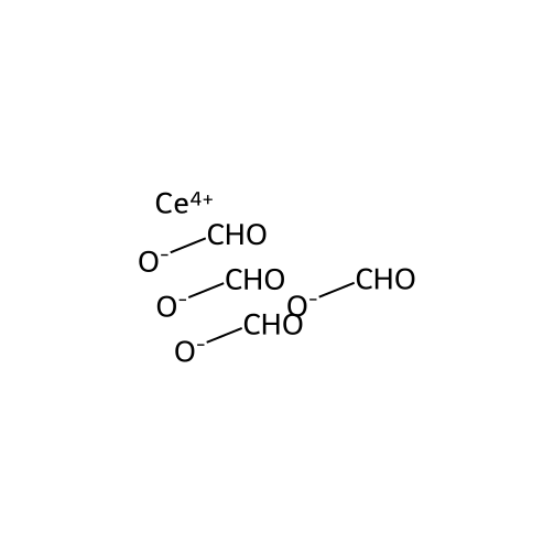 O=C[O-].O=C[O-].O=C[O-].O=C[O-].[Ce+4]